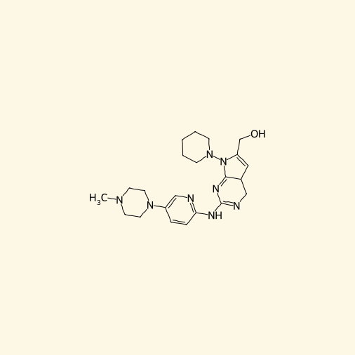 CN1CCN(c2ccc(NC3=NCC4C=C(CO)N(N5CCCCC5)C4=N3)nc2)CC1